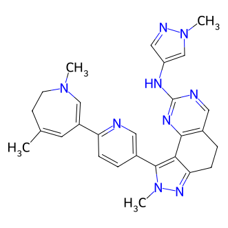 CC1=CC(c2ccc(-c3c4c(nn3C)CCc3cnc(Nc5cnn(C)c5)nc3-4)cn2)=CN(C)CC1